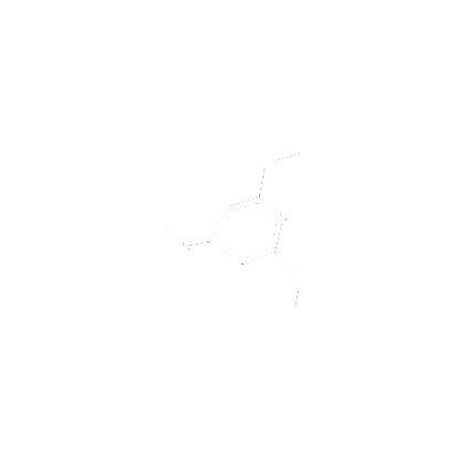 CNc1cc(OC)nc(OC)c1